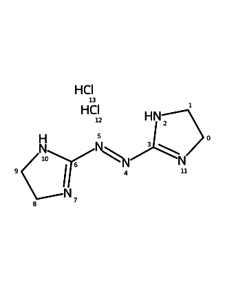 C1CNC(/N=N/C2=NCCN2)=N1.Cl.Cl